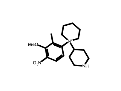 COc1c([N+](=O)[O-])ccc([N+]2(C3CCNCC3)CCCCC2)c1C